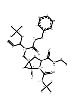 C=CC(CC(C)(C)C)N(C[C@@]12C[C@@H](C(=O)OCC)N(C(=O)OC(C)(C)C)[C@@H]1C2)C(=O)OCc1ccccc1